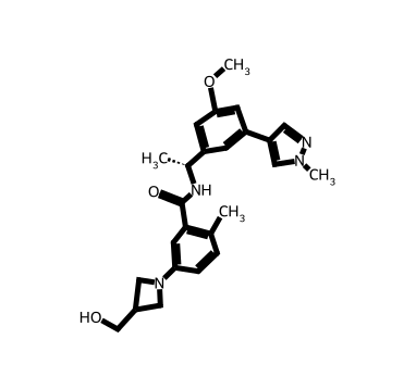 COc1cc(-c2cnn(C)c2)cc([C@@H](C)NC(=O)c2cc(N3CC(CO)C3)ccc2C)c1